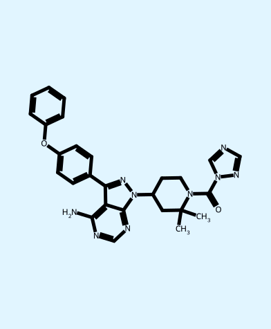 CC1(C)CC(n2nc(-c3ccc(Oc4ccccc4)cc3)c3c(N)ncnc32)CCN1C(=O)n1cncn1